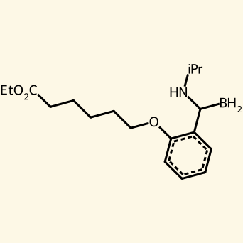 BC(NC(C)C)c1ccccc1OCCCCCC(=O)OCC